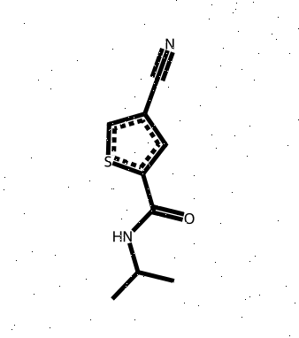 CC(C)NC(=O)c1cc(C#N)cs1